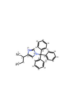 CC(C)CC(C#N)c1cn(C(c2ccccc2)(c2ccccc2)c2ccccc2)cn1